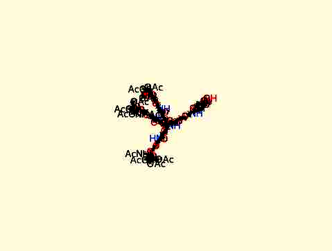 CC(=O)N[C@H]1[C@H](OCCOCCNC(=O)CCOCC(COCCC(=O)CNCCOCCO[C@H]2C[C@@H](OC(C)=O)[C@@H](OC(C)=O)[C@@H](COC(C)=O)O2)(COCCC(=O)NCCOCCO[C@@H]2O[C@H](COC(C)=O)[C@H](OC(C)=O)[C@H](OC(C)=O)[C@H]2NC(C)=O)NC(=O)CCOCCOCCNC(=O)Cc2ccc(OP(=O)(O)I)cc2)O[C@H](COC(C)=O)[C@H](OC(C)=O)[C@@H]1OC(C)=O